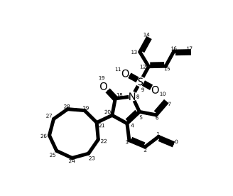 C=C/C=C\C1=C(C=C)N(S(=O)(=O)/C(C=C)=C/C=C)C(=O)C1C1CCCCCCCC1